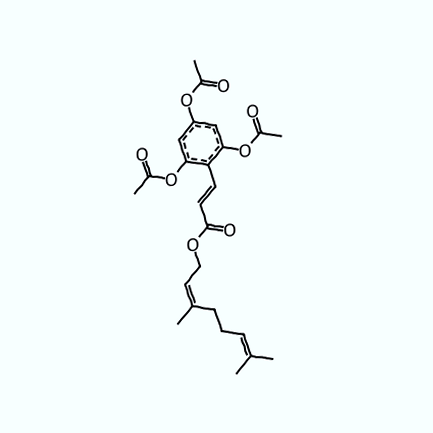 CC(=O)Oc1cc(OC(C)=O)c(C=CC(=O)OCC=C(C)CCC=C(C)C)c(OC(C)=O)c1